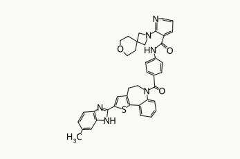 Cc1ccc2nc(-c3cc4c(s3)-c3ccccc3N(C(=O)c3ccc(NC(=O)c5cccnc5N5CC6(CCOCC6)C5)cc3)CC4)[nH]c2c1